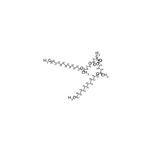 C=C(CC(=O)OCCCC(C)OCCCCCCCCCCCCCC)C(=O)OCCCC(C)OCCCCCCCCCCCCCC